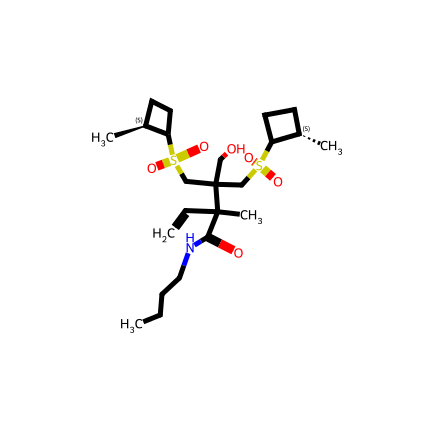 C=CC(C)(C(=O)NCCCC)C(CO)(CS(=O)(=O)C1CC[C@@H]1C)CS(=O)(=O)C1CC[C@@H]1C